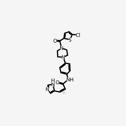 O=C(/C=C\c1cnc[nH]1)Nc1ccc(N2CCN(C(=O)c3ccc(Cl)s3)CC2)cc1